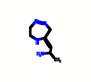 CC(N)/C=C1/CN=NCCN1